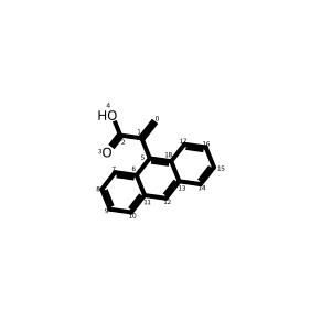 C=C(C(=O)O)c1c2ccccc2cc2ccccc12